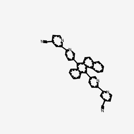 N#Cc1ccnc(-c2ccc(-c3c4ccccc4c(-c4ccc(-c5cc(C#N)ccn5)nc4)c4c3ccc3ccccc34)cn2)c1